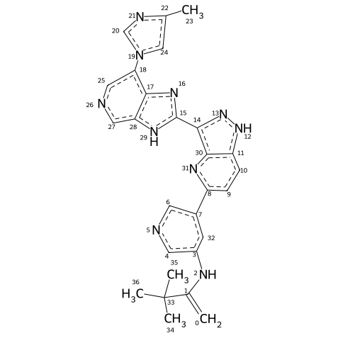 C=C(Nc1cncc(-c2ccc3[nH]nc(-c4nc5c(-n6cnc(C)c6)cncc5[nH]4)c3n2)c1)C(C)(C)C